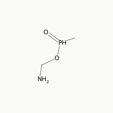 C[PH](=O)OCN